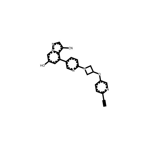 C#Cc1ccc(OC2CN(c3ccc(-c4cc(O)cn5ncc(C#N)c45)cn3)C2)cn1